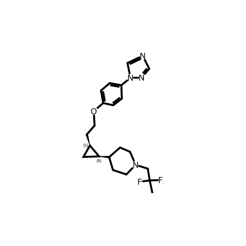 CC(F)(F)CN1CCC([C@H]2C[C@H]2CCOc2ccc(-n3cncn3)cc2)CC1